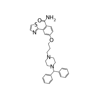 NC(=O)c1ccc(OCCCN2CCN(C(c3ccccc3)c3ccccc3)CC2)cc1-c1nccs1